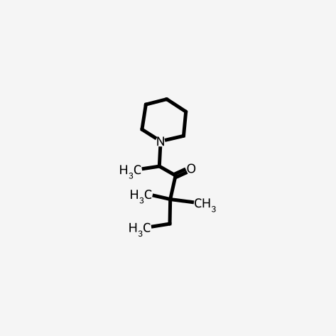 CCC(C)(C)C(=O)C(C)N1CCCCC1